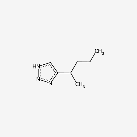 CCCC(C)c1c[nH]nn1